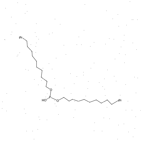 CC(C)CCCCCCCCCCOP(O)OCCCCCCCCCCC(C)C